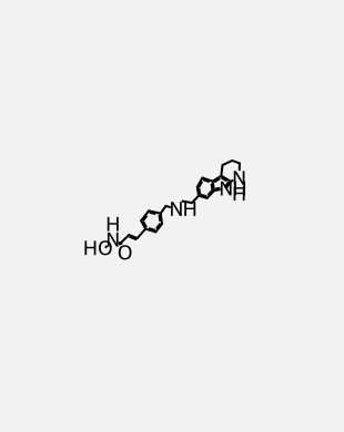 O=C(/C=C/c1ccc(CNCCc2ccc3c4c([nH]c3c2)NCCC4)cc1)NO